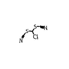 N#CSC(Cl)SC#N